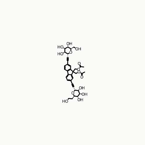 CC(=O)OCC1(COC(C)=O)c2cc(C#C[C@H]3O[C@H](CO)[C@@H](O)[C@H](O)[C@@H]3O)ccc2-c2ccc(C#C[C@H]3O[C@H](CCO)[C@@H](O)[C@H](O)[C@@H]3O)cc21